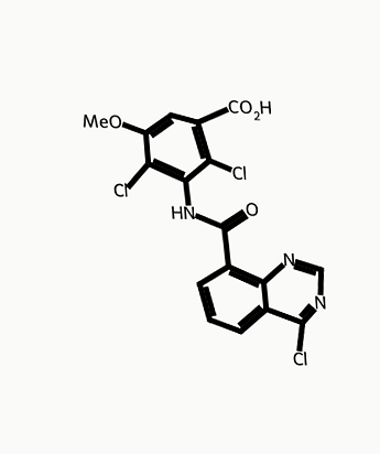 COc1cc(C(=O)O)c(Cl)c(NC(=O)c2cccc3c(Cl)ncnc23)c1Cl